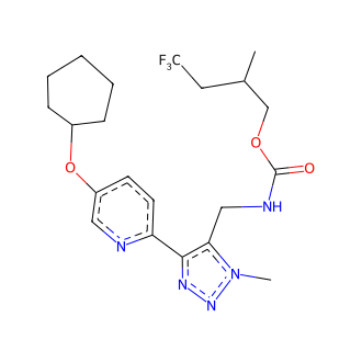 CC(COC(=O)NCc1c(-c2ccc(OC3CCCCC3)cn2)nnn1C)CC(F)(F)F